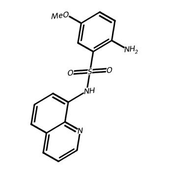 COc1ccc(N)c(S(=O)(=O)Nc2cccc3cccnc23)c1